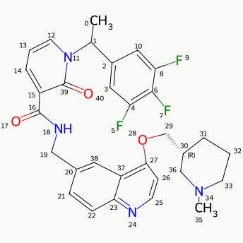 CC(c1cc(F)c(F)c(F)c1)n1cccc(C(=O)NCc2ccc3nccc(OC[C@@H]4CCCN(C)C4)c3c2)c1=O